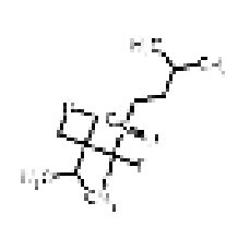 CC(C)CCS(=O)(=O)C(F)(F)C1(C(C)C)COC1